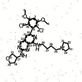 COc1cc(OC)c(Cl)c(-c2cc3cnc(NC4CCOC4)nc3c(NCCCCN3CCCC3)n2)c1Cl